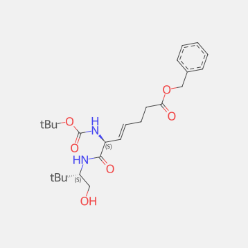 CC(C)(C)OC(=O)N[C@@H](C=CCCC(=O)OCc1ccccc1)C(=O)N[C@H](CO)C(C)(C)C